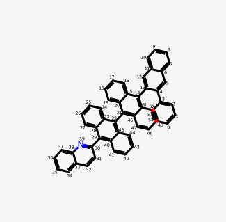 c1ccc(-c2cc3ccccc3cc2-c2c3ccccc3c(-c3c4ccccc4c(-c4ccc5ccccc5n4)c4ccccc34)c3ccccc23)cc1